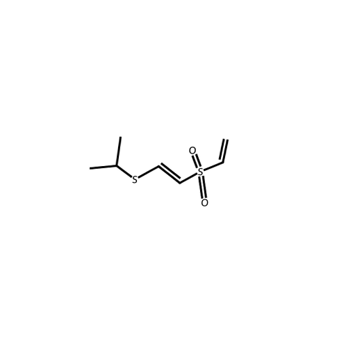 C=CS(=O)(=O)C=CSC(C)C